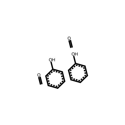 C=O.C=O.Oc1ccccc1.Oc1ccccc1